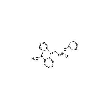 CN1c2ccccc2C(=CO[PH](=O)Oc2ccccc2)c2ccccc21